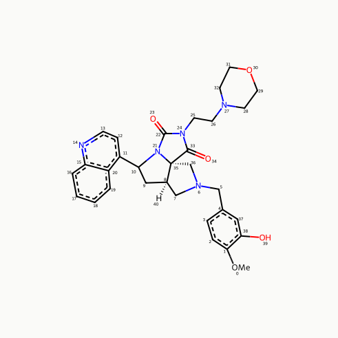 COc1ccc(CN2C[C@H]3CC(c4ccnc5ccccc45)N4C(=O)N(CCN5CCOCC5)C(=O)[C@@]34C2)cc1O